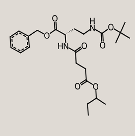 CCC(C)OC(=O)CCC(=O)N[C@@H](CCNC(=O)OC(C)(C)C)C(=O)OCc1ccccc1